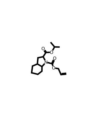 C=CCOC(=O)N1C(C(=O)OC(C)C)CC2CCCCC21